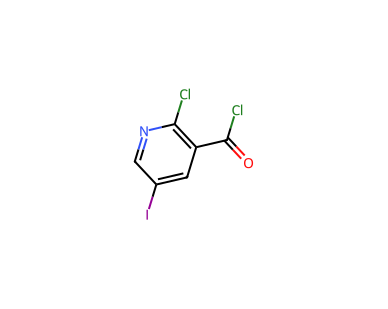 O=C(Cl)c1cc(I)cnc1Cl